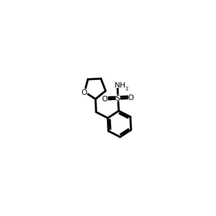 NS(=O)(=O)c1ccccc1CC1CCCO1